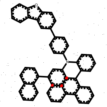 c1cc(-c2cccc3ccccc23)cc(N(c2ccc(-c3ccc4oc5ccccc5c4c3)cc2)c2ccccc2-c2cc3ccccc3c3ccccc23)c1